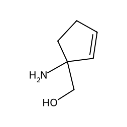 NC1(CO)C=CCC1